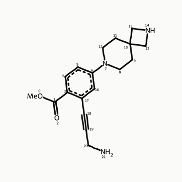 COC(=O)c1ccc(N2CCC3(CC2)CNC3)cc1C#CCN